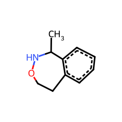 CC1NOCCc2ccccc21